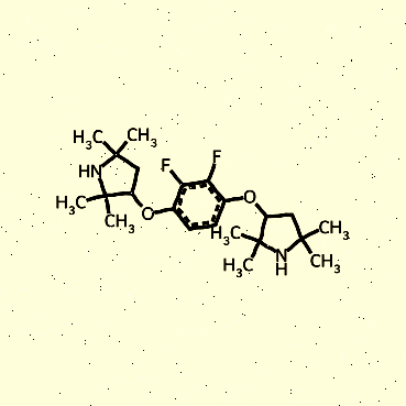 CC1(C)CC(Oc2ccc(OC3CC(C)(C)NC3(C)C)c(F)c2F)C(C)(C)N1